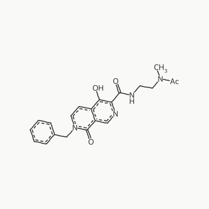 CC(=O)N(C)CCNC(=O)c1ncc2c(=O)n(Cc3ccccc3)ccc2c1O